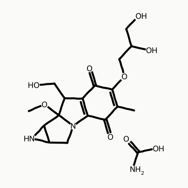 COC12C(CO)C3=C(C(=O)C(C)=C(OCC(O)CO)C3=O)N1CC1NC12.NC(=O)O